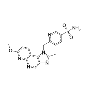 COc1ccc2c(ncc3nc(C)n(Cc4ccc(S(N)(=O)=O)cn4)c32)n1